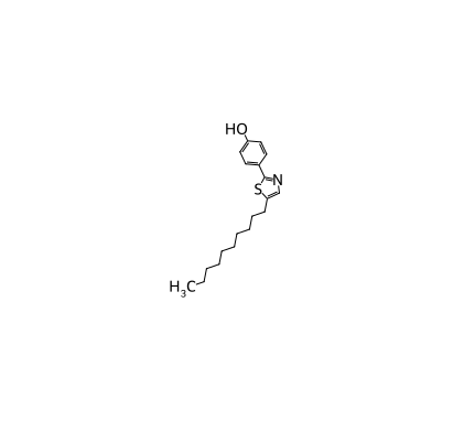 CCCCCCCCCCc1cnc(-c2ccc(O)cc2)s1